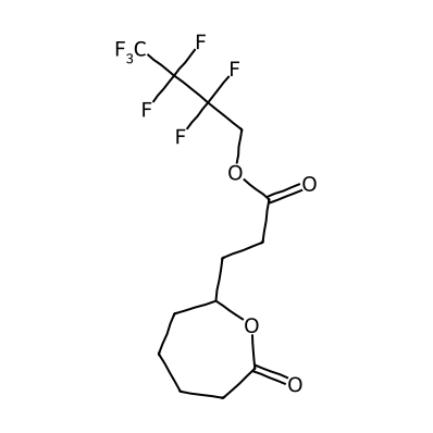 O=C(CCC1CCCCC(=O)O1)OCC(F)(F)C(F)(F)C(F)(F)F